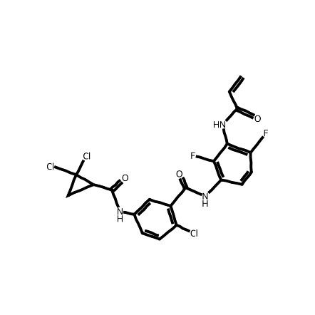 C=CC(=O)Nc1c(F)ccc(NC(=O)c2cc(NC(=O)C3CC3(Cl)Cl)ccc2Cl)c1F